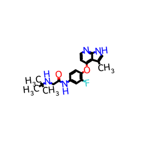 Cc1c[nH]c2nccc(Oc3ccc(NC(=O)CNC(C)(C)C)cc3F)c12